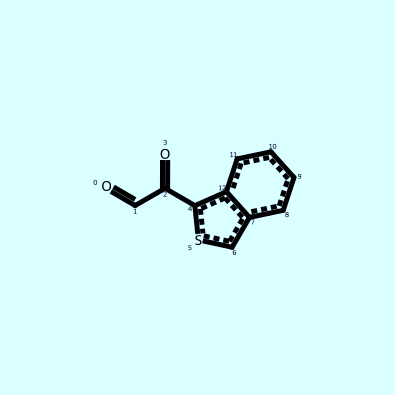 O=CC(=O)c1scc2ccccc12